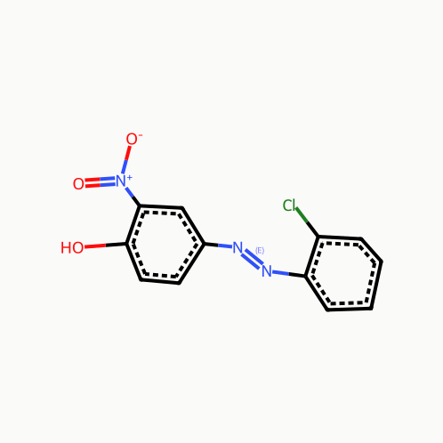 O=[N+]([O-])c1cc(/N=N/c2ccccc2Cl)ccc1O